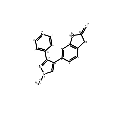 Cn1cc(-c2ccc3c(c2)NC(=O)C3)c(-c2ccncc2)n1